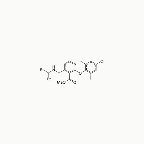 CCC(CC)NCc1ccnc(Oc2c(C)cc(Cl)cc2C)c1C(=O)OC